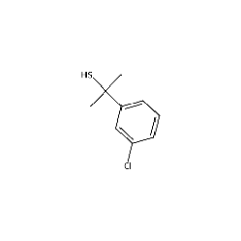 CC(C)(S)c1cccc(Cl)c1